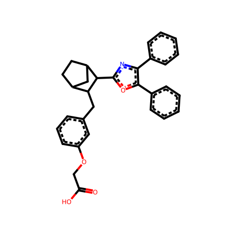 O=C(O)COc1cccc(CC2C3CCC(C3)C2c2nc(-c3ccccc3)c(-c3ccccc3)o2)c1